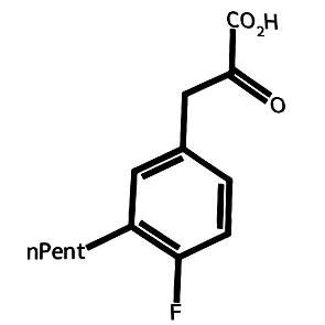 CCCCCc1cc(CC(=O)C(=O)O)ccc1F